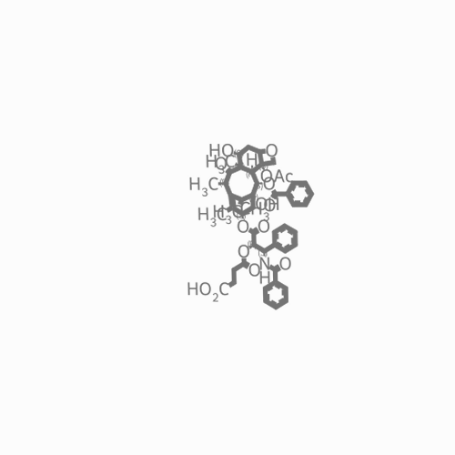 CC(=O)O[C@@]12COC1C[C@H](O)[C@@]1(C)C(=O)[C@H](C)C3=C(C)[C@@H](OC(=O)[C@H](OC(=O)CCC(=O)O)[C@@H](NC(=O)c4ccccc4)c4ccccc4)C[C@@](O)([C@@H](OC(=O)c4ccccc4)[C@@H]12)C3(C)C